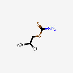 CCCCC(CC)CSC(N)=S